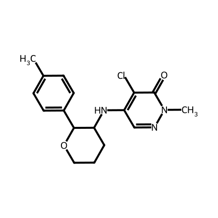 Cc1ccc(C2OCCCC2Nc2cnn(C)c(=O)c2Cl)cc1